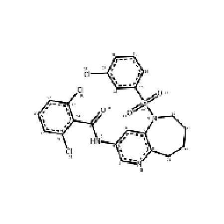 O=C(Nc1cnc2c(c1)N(S(=O)(=O)c1cccc(Cl)c1)CCCC2)c1c(Cl)cccc1Cl